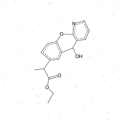 CCOC(=O)C(C)c1ccc2c(c1)C(O)c1cccnc1O2